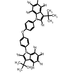 [2H]c1c([2H])c([2H])c2c(c1[2H])c(C(C)(C)C)c([2H])n2-c1ccc(Oc2ccc(-n3c([2H])c(C(C)(C)C)c4c([2H])c([2H])c([2H])c([2H])c43)cc2)cc1